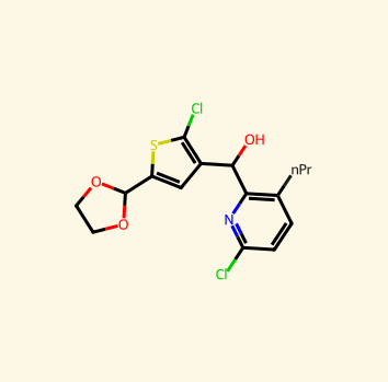 CCCc1ccc(Cl)nc1C(O)c1cc(C2OCCO2)sc1Cl